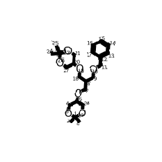 CC1(C)OCC(OCC(COCc2ccccc2)COC2COC(C)(C)OC2)CO1